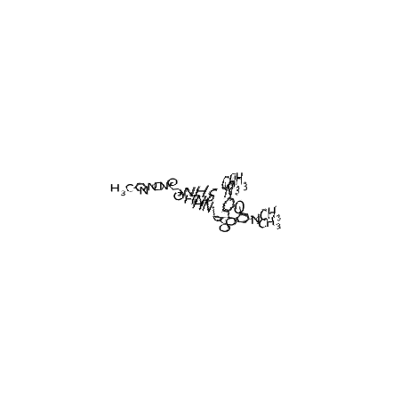 CCN(CC)c1ccc2c(c1)Oc1cc(N(CC)CC)ccc1C21OC(=O)c2ccc(CNC(=S)NCCNC(=O)CCC(=O)N3CCN(c4ccc(C)cn4)CC3)cc21